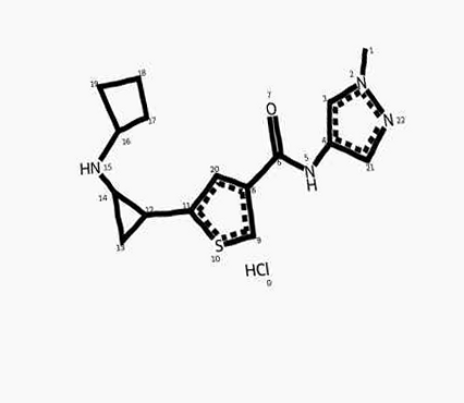 Cl.Cn1cc(NC(=O)c2csc(C3CC3NC3CCC3)c2)cn1